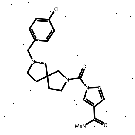 CNC(=O)c1cnn(C(=O)N2CCC3(CCN(Cc4ccc(Cl)cc4)C3)C2)c1